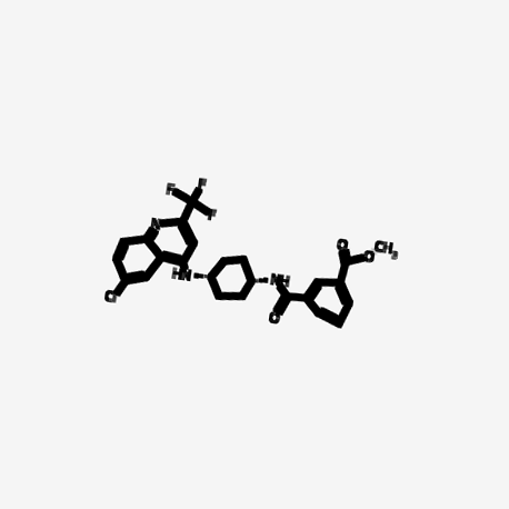 COC(=O)c1cccc(C(=O)N[C@H]2CC[C@@H](Nc3cc(C(F)(F)F)nc4ccc(Cl)cc34)CC2)c1